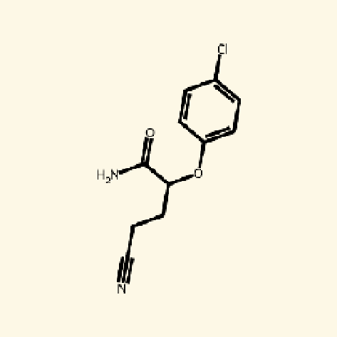 N#CCCC(Oc1ccc(Cl)cc1)C(N)=O